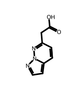 O=C(O)Cc1ccc2ccnn2n1